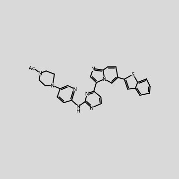 CC(=O)N1CCN(c2ccc(Nc3nccc(-c4cnc5ccc(-c6cc7ccccc7s6)cn45)n3)nc2)CC1